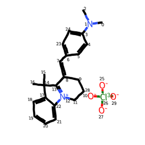 CN(C)c1ccc(C=C2CCC[N+]3=C2C(C)(C)c2ccccc23)cc1.[O-][Cl+3]([O-])([O-])[O-]